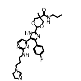 CCCNC(=O)C1(C)COC(c2nc(-c3ccc(F)cc3)c(-c3ccnc(NCCCN4C=NCC4)n3)[nH]2)OC1